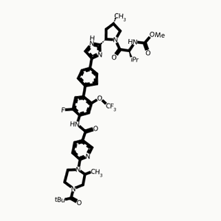 COC(=O)N[C@H](C(=O)N1C[C@@H](C)C[C@H]1c1nc(-c2ccc(-c3cc(F)c(NC(=O)c4ccc(N5CCN(C(=O)C(C)(C)C)CC5C)nc4)cc3OC(F)(F)F)cc2)c[nH]1)C(C)C